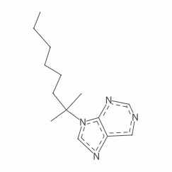 CCCCCCC(C)(C)n1cnc2cncnc21